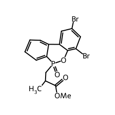 COC(=O)C(C)CP1(=O)Oc2c(Br)cc(Br)cc2-c2ccccc21